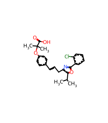 CC(C)c1oc(-c2ccccc2Cl)nc1C/C=C/c1ccc(OC(C)(C)C(=O)O)cc1